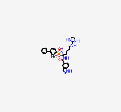 O=C(NC(CCCCNC1NCCN1)(NS(=O)(=O)c1ccc(-c2ccccc2)cc1)C(=O)O)c1ccc2[nH]ncc2c1